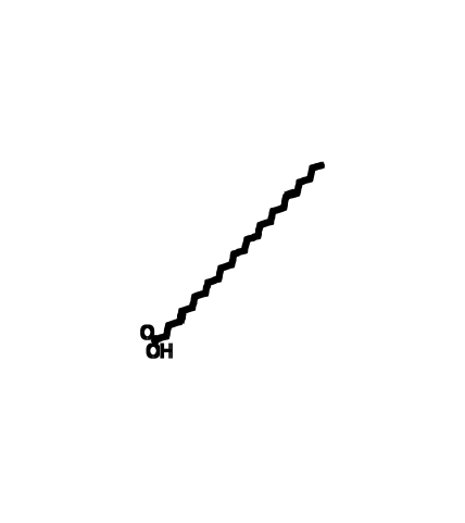 CCCC/C=C/CCCCCCCCCCCCCCC/C=C/CCC(=O)O